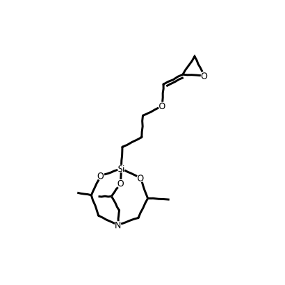 CC1CN2CC(C)O[Si](CCCO/C=C3/CO3)(O1)OC(C)C2